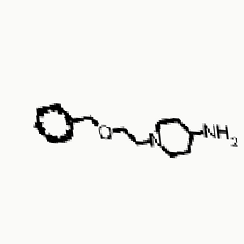 NC1CCN(CCOCc2ccccc2)CC1